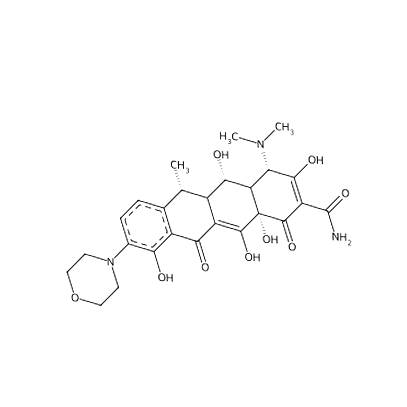 C[C@H]1c2ccc(N3CCOCC3)c(O)c2C(=O)C2=C(O)[C@]3(O)C(=O)C(C(N)=O)=C(O)[C@@H](N(C)C)C3[C@@H](O)C21